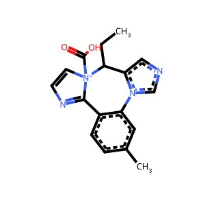 CCC1c2cncn2-c2cc(C)ccc2C2=NC=C[N+]21C(=O)O